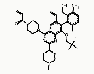 C=CC(=O)N1CCN(c2nc(C3CCN(C)CC3)nc3c(OCC(F)(F)F)c(-c4c(C)ccc(N)c4C=N)c(C=C)cc23)CC1